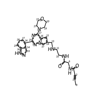 CC#CC(=O)NCC(=O)NCCNCc1cc2c(N3CCOCC3)nc(-c3cccc4[nH]ncc34)nn2c1